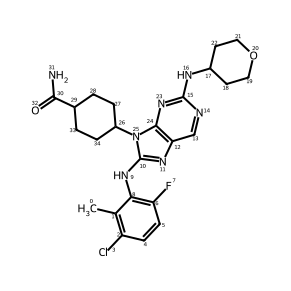 Cc1c(Cl)ccc(F)c1Nc1nc2cnc(NC3CCOCC3)nc2n1C1CCC(C(N)=O)CC1